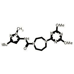 COc1nc(OC)nc(N2CCCN(C(=O)Nc3cc(C(C)(C)C)nn3C)CC2)n1